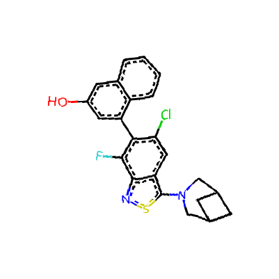 Oc1cc(-c2c(Cl)cc3c(N4CC5CC(C5)C4)snc3c2F)c2ccccc2c1